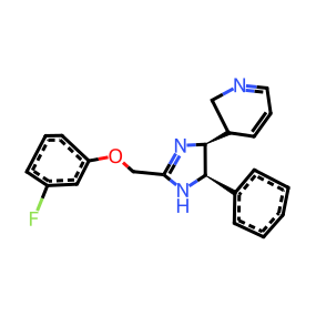 Fc1cccc(OCC2=N[C@@H](C3C=CC=NC3)[C@@H](c3ccccc3)N2)c1